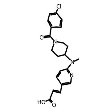 CN(c1ccc(/C=C/C(=O)O)cn1)C1CCN(C(=O)c2ccc(Cl)cc2)CC1